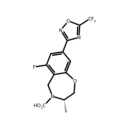 C[C@H]1COc2cc(-c3noc(C(F)(F)F)n3)cc(F)c2CN1C(=O)O